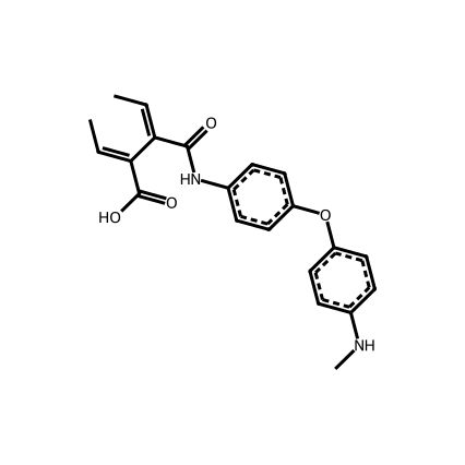 C/C=C(C(=O)O)\C(=C/C)C(=O)Nc1ccc(Oc2ccc(NC)cc2)cc1